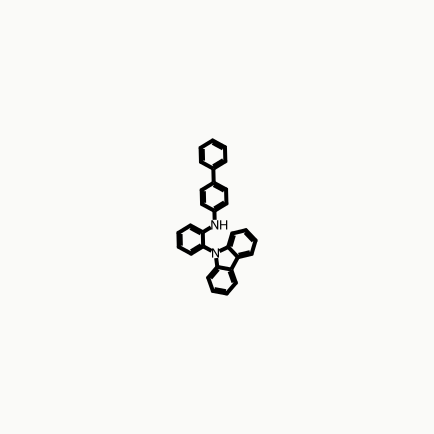 c1ccc(-c2ccc(Nc3ccccc3-n3c4ccccc4c4ccccc43)cc2)cc1